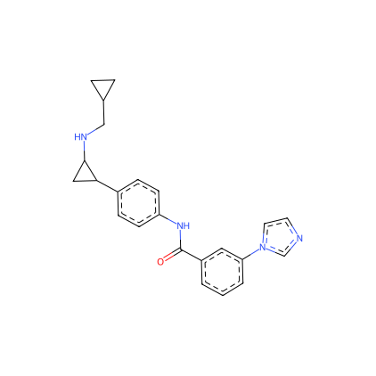 O=C(Nc1ccc(C2CC2NCC2CC2)cc1)c1cccc(-n2ccnc2)c1